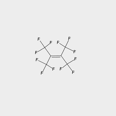 FC(F)(F)C(=C(C(F)(F)F)C(F)(F)F)C(F)(F)F